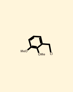 COc1cccc(CCl)c1OC